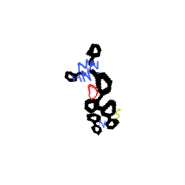 C1=CC2c3ccccc3N(c3cccc4sc5ccc(-c6cccc7oc8c(C9N=C(c%10ccccc%10)N=C(c%10ccccc%10)N9)cccc8c67)cc5c34)C2C=C1